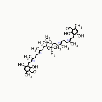 C/C(=C\Cc1c(O)cc(C)c(C=O)c1O)CC/C=C(\C)CCC1OC(C)(C)C(CC/C(C)=C/CC/C(C)=C/Cc2c(O)cc(C)c(C=O)c2O)OC1(C)C